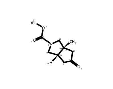 CC(C)(C)OC(=O)N1C[C@H]2CC(=O)C[C@@]2(C)C1